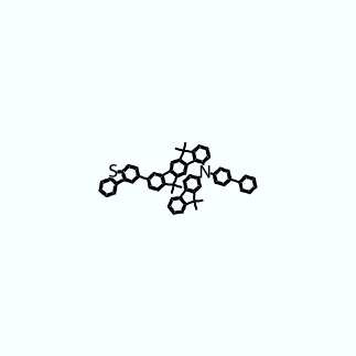 CC1(C)c2ccccc2-c2ccc(N(c3ccc(-c4ccccc4)cc3)c3cccc4c3-c3cc5c(cc3C4(C)C)-c3cc(-c4ccc6sc7ccccc7c6c4)ccc3C5(C)C)cc21